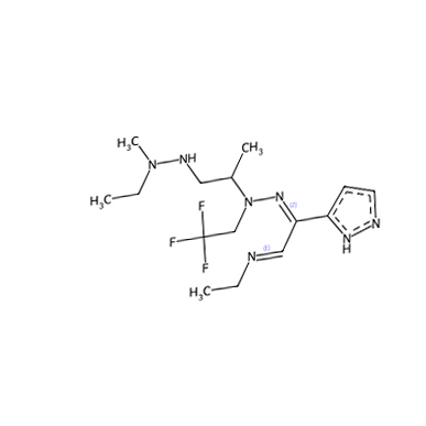 CC/N=C/C(=N\N(CC(F)(F)F)C(C)CNN(C)CC)c1ccn[nH]1